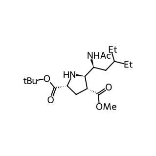 CCC(CC)C[C@H](NC(C)=O)[C@@H]1N[C@@H](C(=O)OC(C)(C)C)C[C@H]1C(=O)OC